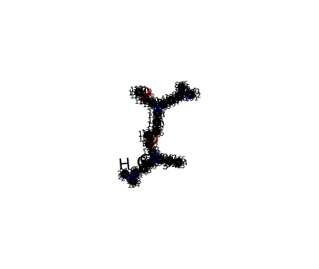 CC1(C)c2cc(-c3ccc4c(c3)c3ccccc3n4-c3ccccc3)ccc2-c2ccc(N(c3ccc(-c4ccc(-c5ccccc5)cc4)cc3)c3ccc(-c4ccc5c(c4)oc4c(-c6cccc(-c7ccc(-c8ccc(N(c9ccc(-c%10ccc(-c%11ccc%12c(c%11)c%11ccccc%11n%12-c%11ccccc%11)cc%10)cc9)c9ccc(-c%10ccc%11c(c%10)oc%10ccccc%10%11)cc9)cc8)cc7)c6)cccc45)cc3)cc21